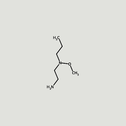 CCCN(CCN)OC